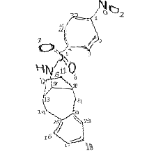 O=[N+]([O-])c1ccc(S(=O)(=O)NC2C3CCC2Cc2ccccc2C3)cc1